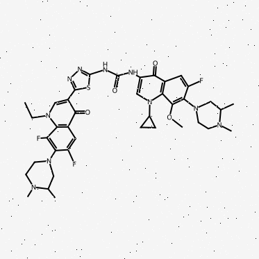 CCn1cc(-c2nnc(NC(=O)Nc3cn(C4CC4)c4c(OC)c(N5CCN(C)C(C)C5)c(F)cc4c3=O)s2)c(=O)c2cc(F)c(N3CCN(C)C(C)C3)c(F)c21